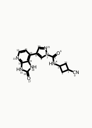 N#CC1CC(NC(=O)n2cc(-c3ccnc4[nH]c(=O)[nH]c34)cn2)C1